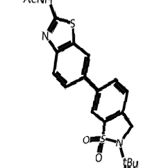 CC(=O)Nc1nc2ccc(-c3ccc4c(c3)S(=O)(=O)N(C(C)(C)C)C4)cc2s1